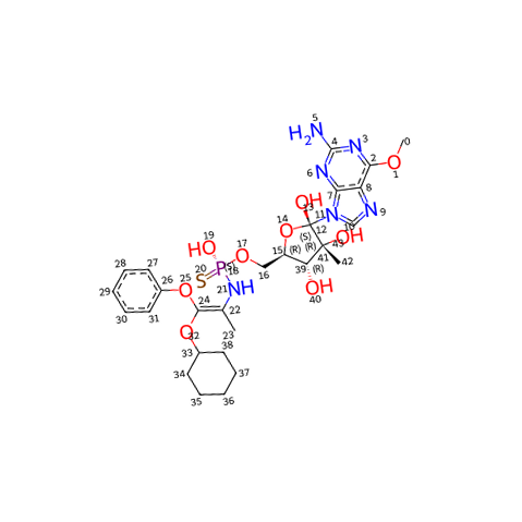 COc1nc(N)nc2c1ncn2[C@@]1(O)O[C@H](CO[P@](O)(=S)NC(C)=C(Oc2ccccc2)OC2CCCCC2)[C@@H](O)[C@@]1(C)O